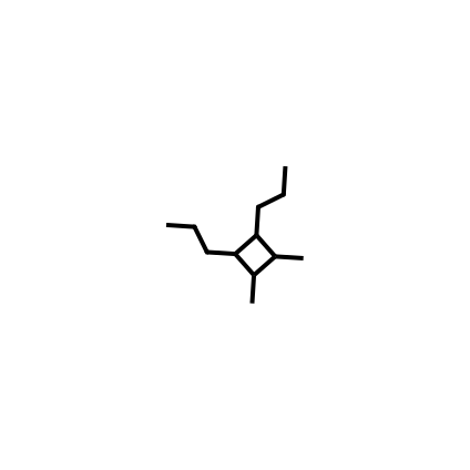 CCCC1C(C)C(C)C1CCC